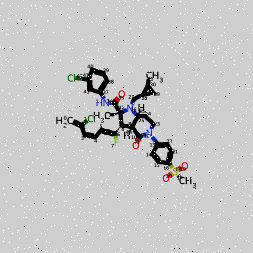 C=C(Cl)/C=C\C=C(/F)[C@H]1[C@@H]2C(=O)N(c3ccc(S(C)(=O)=O)cc3)CC[C@@H]2N(CC2CC2C)[C@@]1(C)C(=O)Nc1cccc(Cl)c1